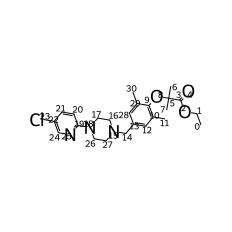 CCOC(=O)C(C)(C)Oc1c(C)cc(CN2CCN(c3ccc(Cl)cn3)CC2)cc1C